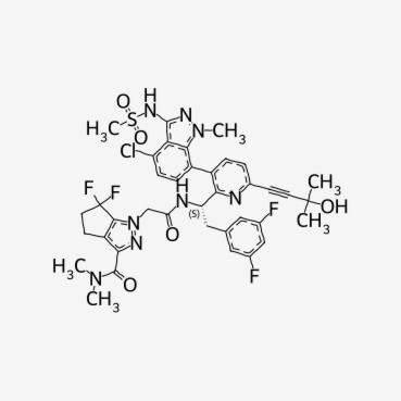 CN(C)C(=O)c1nn(CC(=O)N[C@@H](Cc2cc(F)cc(F)c2)c2nc(C#CC(C)(C)O)ccc2-c2ccc(Cl)c3c(NS(C)(=O)=O)nn(C)c23)c2c1CCC2(F)F